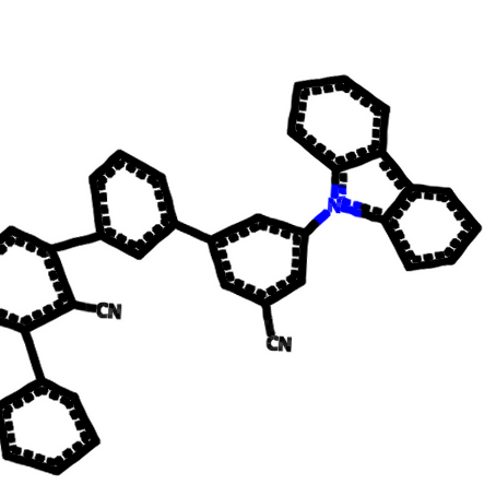 N#Cc1cc(-c2cccc(-c3cccc(-c4ccccc4)c3C#N)c2)cc(-n2c3ccccc3c3ccccc32)c1